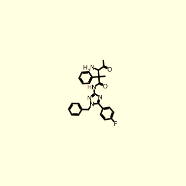 CC(=O)C(N)C(C)(C(=O)Nc1nc(-c2ccc(F)cc2)n(Cc2ccccc2)n1)c1ccccc1